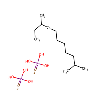 CC[CH](C)[Zn][CH2]CCCCC(C)C.OP(O)(O)=S.OP(O)(O)=S